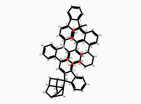 CC1(C)c2ccccc2-c2ccc(N(c3ccccc3-c3ccc4c(c3)C3(c5ccccc5-4)C4CC5CC6CC37C6C547)c3ccccc3-c3cccc4cccc(C5CCCCC5)c34)cc21